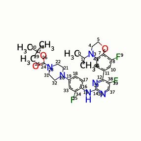 CC(C)N1CCOc2c(F)cc(-c3nc(Nc4ccc(N5CCN(C(=O)OC(C)(C)C)CC5)cc4F)ncc3F)cc21